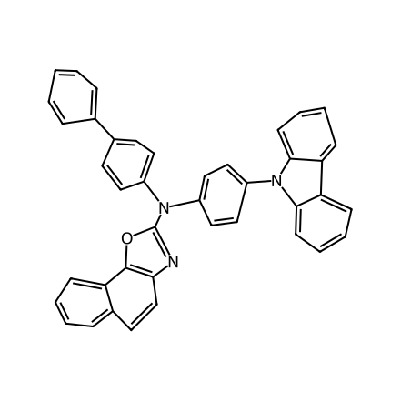 c1ccc(-c2ccc(N(c3ccc(-n4c5ccccc5c5ccccc54)cc3)c3nc4ccc5ccccc5c4o3)cc2)cc1